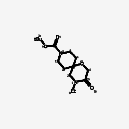 CCN1CC2(CCN(C(=O)OC(C)(C)C)CC2)OCC1=O